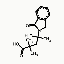 CC(C)(CC(C)(C)N1Cc2ccccc2C1=O)C(=O)O